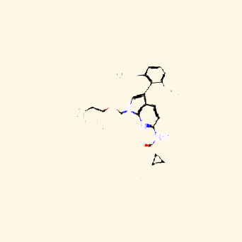 COc1cccc(OC)c1-c1cn(COCC[Si](C)(C)C)c2nc(NC(=O)[C@@H]3C[C@H]3C=O)ccc12